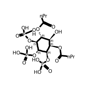 CCCC(=O)O[C@@H]1[C@@H](O)[C@@H](OC(=O)CCC)[C@@H](OP(=O)(O)O)[C@H](OP(=O)(O)O)[C@H]1OP(=O)(O)O